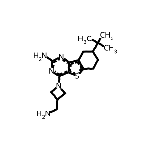 CC(C)(C)C1CCc2sc3c(N4CC(CN)C4)nc(N)nc3c2C1